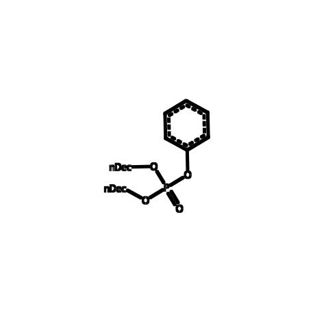 CCCCCCCCCCOP(=O)(OCCCCCCCCCC)Oc1ccccc1